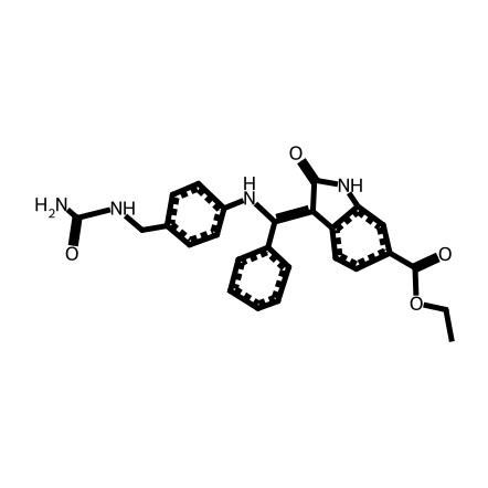 CCOC(=O)c1ccc2c(c1)NC(=O)/C2=C(\Nc1ccc(CNC(N)=O)cc1)c1ccccc1